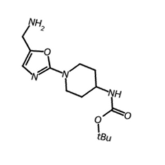 CC(C)(C)OC(=O)NC1CCN(c2ncc(CN)o2)CC1